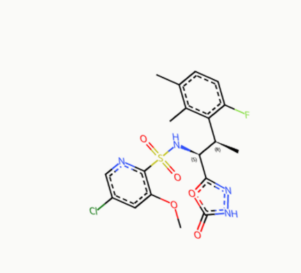 COc1cc(Cl)cnc1S(=O)(=O)N[C@H](c1n[nH]c(=O)o1)[C@H](C)c1c(F)ccc(C)c1C